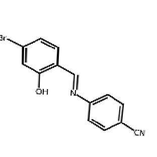 N#Cc1ccc(/N=C/c2ccc(Br)cc2O)cc1